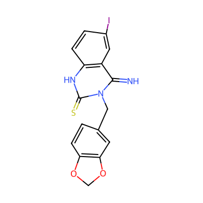 N=c1c2cc(I)ccc2[nH]c(=S)n1Cc1ccc2c(c1)OCO2